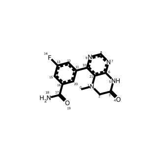 CN1CC(=O)Nc2ncnc(-c3cc(F)cc(C(N)=O)c3)c21